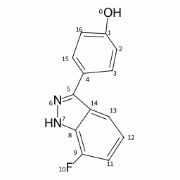 Oc1ccc(-c2n[nH]c3c(F)cccc23)cc1